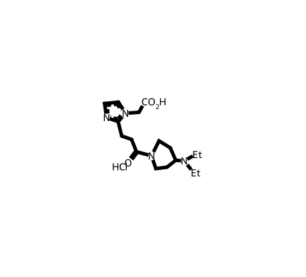 CCN(CC)C1CCN(C(=O)CCc2nccn2CC(=O)O)CC1.Cl